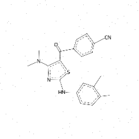 Cc1ccc(Nc2nc(N(C)C)c(C(=O)c3ccc(C#N)cc3)s2)cc1C